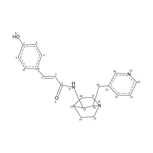 O=C(/C=C/c1ccc(O)cc1)NC1C2CCN(CC2)C1Cc1cccnc1